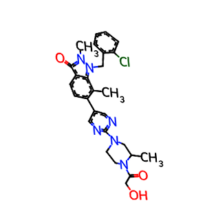 Cc1c(-c2cnc(N3CCN(C(=O)CO)C(C)C3)nc2)ccc2c(=O)n(C)n(Cc3ccccc3Cl)c12